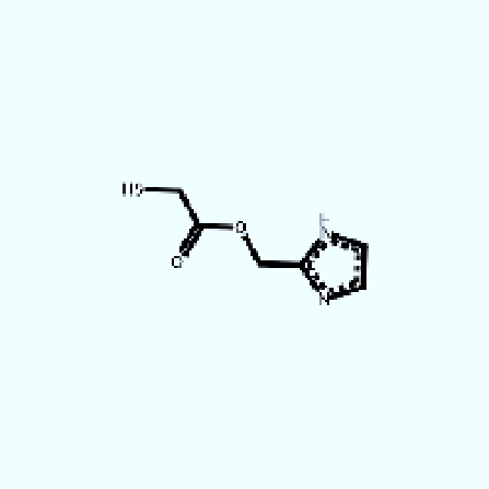 O=C(CS)OCc1ncc[nH]1